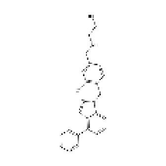 OCCNCc1ccc(Cn2ncc3c(-c4ccccc4)cccc32)c(Cl)c1